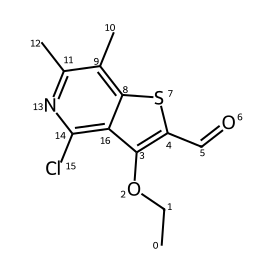 CCOc1c(C=O)sc2c(C)c(C)nc(Cl)c12